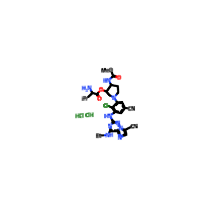 CCNc1nc(Nc2cc(C#N)cc(N3CCC(NC(=O)OC)C(OC(=O)C(N)C(C)C)C3)c2Cl)nn2c(C#N)cnc12.Cl.Cl